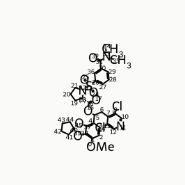 COc1ccc(C(Cc2c(Cl)cncc2Cl)OC(=O)[C@@H]2CCCN2S(=O)(=O)c2cccc(C(=O)N(C)C)c2)c2c1OC1(CCCC1)O2